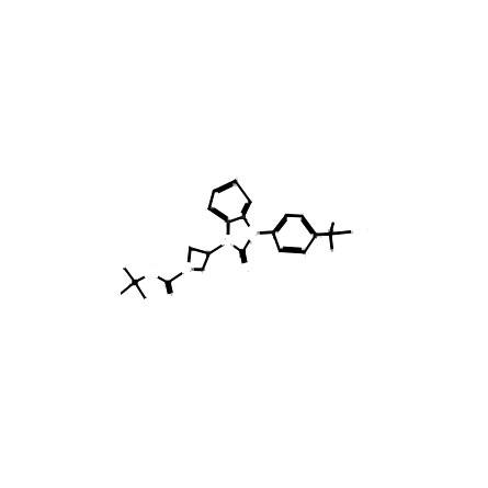 CC(C)(C)OC(=O)N1CC(n2c(=N)n(-c3ccc(C(F)(F)F)cc3)c3ccccc32)C1